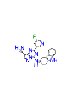 C[C@H](N)c1cnn2c(N[C@H]3CCc4[nH]c5ccccc5c4C3)nc(-c3cncc(F)c3)nc12